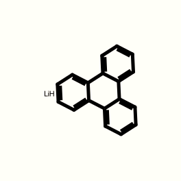 [LiH].c1ccc2c(c1)c1ccccc1c1ccccc21